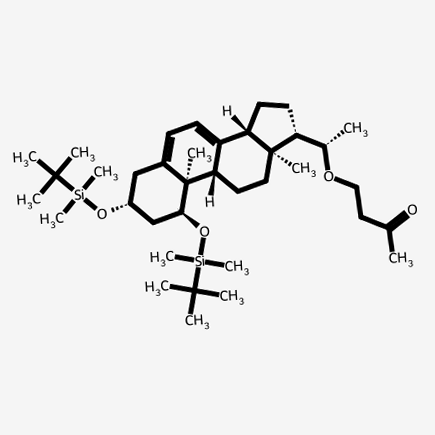 CC(=O)CCO[C@@H](C)[C@H]1CC[C@H]2C3=CC=C4C[C@@H](O[Si](C)(C)C(C)(C)C)C[C@H](O[Si](C)(C)C(C)(C)C)[C@]4(C)[C@H]3CC[C@]12C